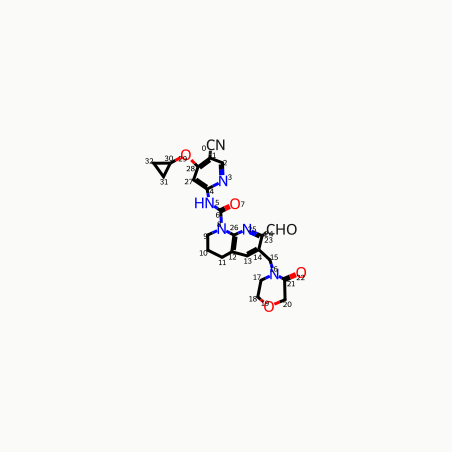 N#Cc1cnc(NC(=O)N2CCCc3cc(CN4CCOCC4=O)c(C=O)nc32)cc1OC1CC1